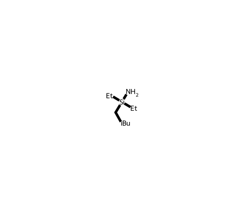 CCC(C)C[Si](N)(CC)CC